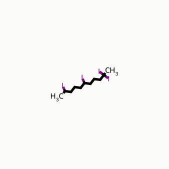 CC(I)CCCC(I)CCCC(C)(I)I